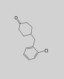 O=C1CCC(Cc2ccccc2Cl)CC1